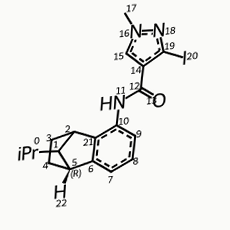 CC(C)C1C2CC[C@H]1c1cccc(NC(=O)c3cn(C)nc3I)c12